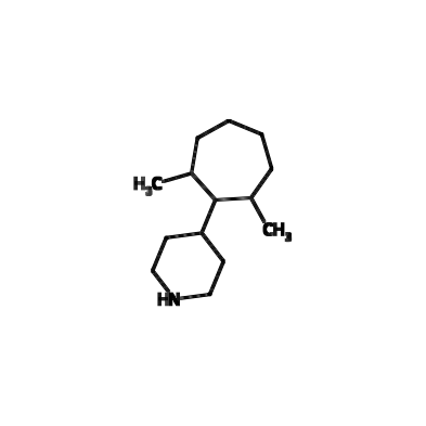 CC1CCCCC(C)C1C1CCNCC1